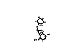 Cc1ccc(O)c2nn(Cc3ccccc3)nc12